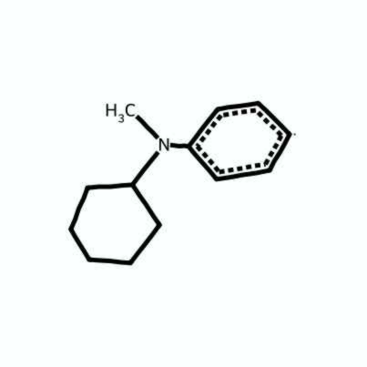 CN(c1cc[c]cc1)C1CCCCC1